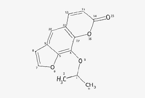 CC(C)Oc1c2occc2cc2ccc(=O)oc12